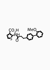 COc1ccccc1-c1ccc(CCC(=O)Nc2sccc2C(=O)O)cc1